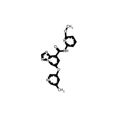 COc1cccc(NC(=O)c2cc(Oc3cncc(C)c3)cn3ncnc23)n1